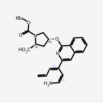 C=C/C=C(\C=C/N)c1cc2ccccc2c(O[C@@H]2C[C@@H](C(=O)O)N(C(=O)OC(C)(C)C)C2)n1